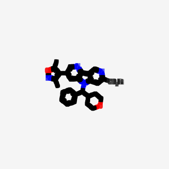 CCOC(=O)c1cc2c(cn1)c1ncc(-c3c(C)noc3C)cc1n2C(c1ccccc1)C1CCOCC1